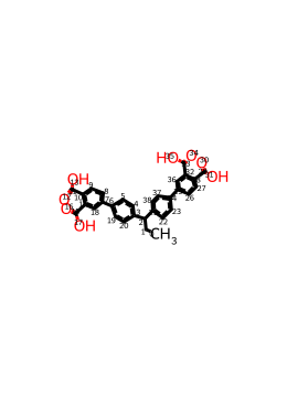 CCC(c1ccc(-c2ccc(C(=O)O)c(C(=O)O)c2)cc1)c1ccc(-c2ccc(C(=O)O)c(C(=O)O)c2)cc1